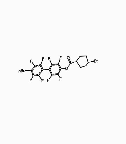 CCCCc1c(F)c(F)c(-c2c(F)c(F)c(OC(=O)[C@H]3CC[C@H](CC)CC3)c(F)c2F)c(F)c1F